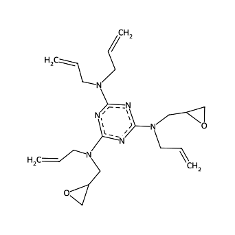 C=CCN(CC=C)c1nc(N(CC=C)CC2CO2)nc(N(CC=C)CC2CO2)n1